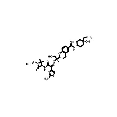 CC1(C)[C@H](NC(=O)/C(=N\O[C@](C)(CO)[C@H]2CCc3cc(C(=N)N[C@H]4CC[C@](O)(CN)CC4)ccc3O2)c2csc(N)n2)C(=O)N1OS(=O)(=O)O